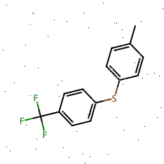 Cc1ccc(Sc2ccc(C(F)(F)F)cc2)cc1